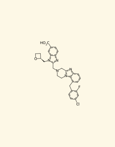 O=C(O)c1ccc2nc(CN3CCn4c(nc5cccc(Cc6ccc(Cl)cc6F)c54)C3)n(C[C@@H]3CCO3)c2c1